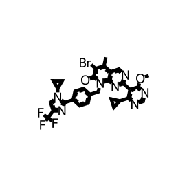 COc1ncnc(C2CC2)c1-c1ncc2c(C)c(Br)c(=O)n(Cc3ccc(-c4nc(C(F)(F)F)cn4C4CC4)cc3)c2n1